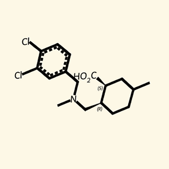 CC1CC[C@@H](CN(C)Cc2ccc(Cl)c(Cl)c2)[C@@H](C(=O)O)C1